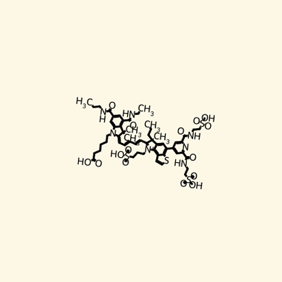 CCCNC(=O)c1cc(C(=O)NCC)c2c(c1)N(CCCCCC(=O)O)/C(=C/C=C/C=C/C1=[N+](CCCS(=O)(=O)O)c3c(cc(-c4cc(C(=O)NCCS(=O)(=O)O)nc(C(=O)NCCS(=O)(=O)O)c4)c4sccc34)[C@]1(C)CCC)C2(C)C